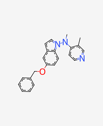 Cc1cnccc1N(C)n1ccc2cc(OCc3ccccc3)ccc21